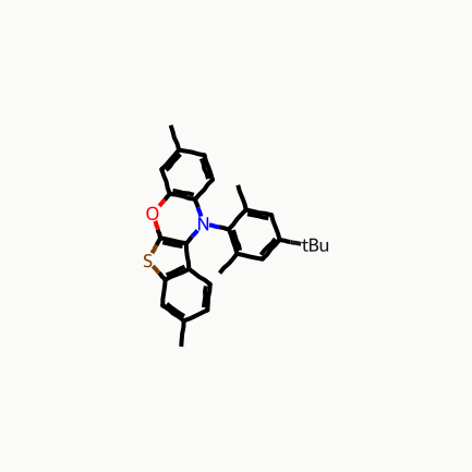 Cc1ccc2c(c1)Oc1sc3cc(C)ccc3c1N2c1c(C)cc(C(C)(C)C)cc1C